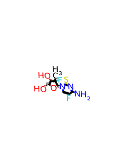 CC1(F)[C@@H](O)[C@@H](CO)O[C@H]1n1cc(F)c(N)nc1=S